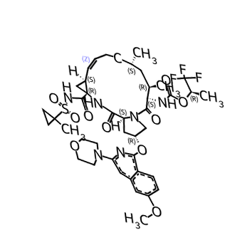 COc1ccc2c(O[C@@H]3C[C@H]4C(=O)N[C@]5(C(=O)NS(=O)(=O)C6(C)CC6)C[C@H]5/C=C\CC[C@H](C)C[C@@H](C)[C@H](NC(=O)O[C@H](C)C(F)(F)F)C(=O)N4C3)nc(N3CCOCC3)cc2c1